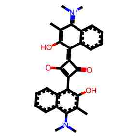 CC1=C(O)/C(=C2/C(=O)C(c3c(O)c(C)c(N(C)C)c4ccccc34)=C2[O-])c2ccccc2C1=[N+](C)C